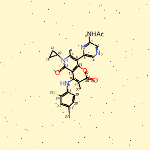 CC(=O)Nc1cncc(-c2c(C)n(C3CC3)c(=O)c3c(Nc4ccc(I)cc4F)c(C)c(=O)oc23)n1